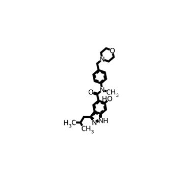 CC(C)Cc1n[nH]c2cc(O)c(C(=O)N(C)c3ccc(CN4CCOCC4)cc3)cc12